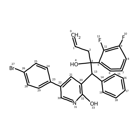 C=CCC(O)(C1=C=C=CC(F)=C1F)C(c1ccccc1)c1cc(-c2ccc(Br)cc2)cnc1O